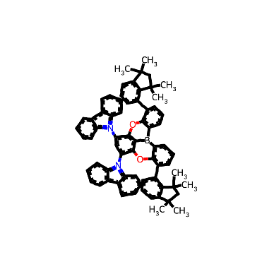 CC1(C)CC(C)(C)c2c(-c3cccc4c3Oc3c(-n5c6ccccc6c6ccccc65)cc(-n5c6ccccc6c6ccccc65)c5c3B4c3cccc(-c4cccc6c4C(C)(C)CC6(C)C)c3O5)cccc21